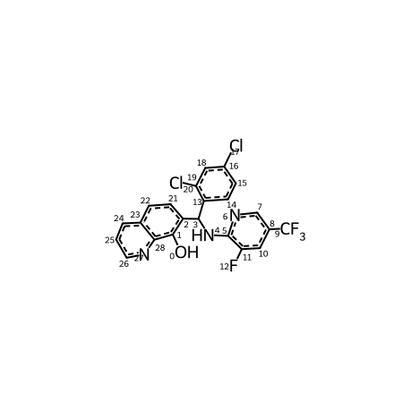 Oc1c(C(Nc2ncc(C(F)(F)F)cc2F)c2ccc(Cl)cc2Cl)ccc2cccnc12